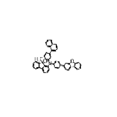 CC1(C)c2ccccc2-c2cccc(N(c3ccc(-c4ccc5c(c4)oc4ccccc45)cc3)c3cccc(-c4cccc5ccccc45)c3)c21